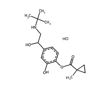 CC(C)(C)NCC(O)c1ccc(OC(=O)C2(C)CC2)c(O)c1.Cl